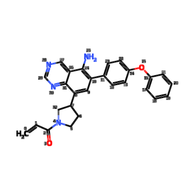 C=CC(=O)N1CCC(c2cc(-c3ccc(Oc4ccccc4)cc3)c(N)c3cncnc23)C1